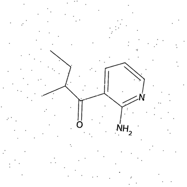 CCC(C)C(=O)c1cccnc1N